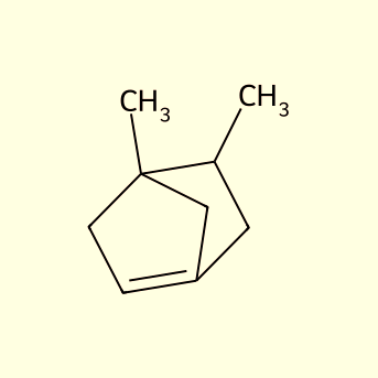 CC1CC2=CCC1(C)C2